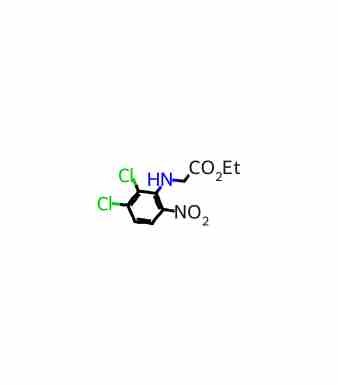 CCOC(=O)CNc1c([N+](=O)[O-])ccc(Cl)c1Cl